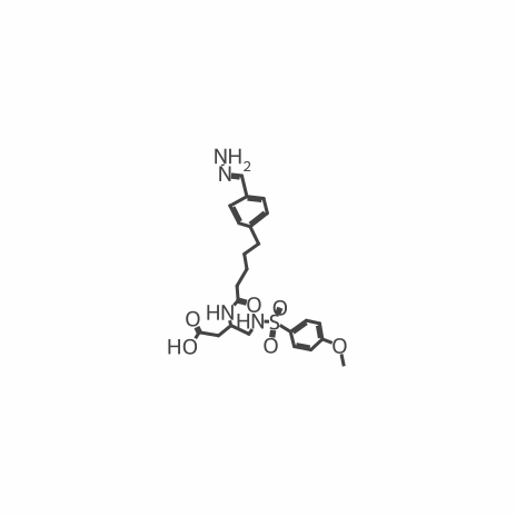 COc1ccc(S(=O)(=O)NCC(CC(=O)O)NC(=O)CCCCc2ccc(C=NN)cc2)cc1